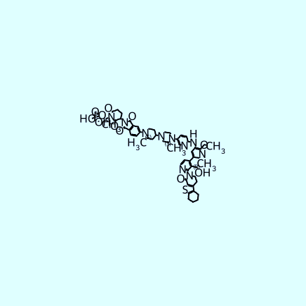 COc1ncc(-c2ccnc(N3CCc4c(sc5c4CCCC5)C3=O)c2[C@@H](C)O)cc1Nc1ccc(N2CCN(C3CCN(c4ccc5c(c4)C(=O)N(C4CCC(=O)N(C(C)OP(=O)(O)O)C4=O)C5=O)[C@@H](C)C3)C[C@@H]2C)cn1